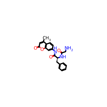 Cc1cc(=O)oc2cc(NC(=O)[C@H](Cc3ccccc3)NC(=O)CN)ccc12